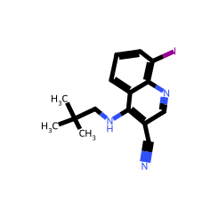 CC(C)(C)CNc1c(C#N)cnc2c(I)cccc12